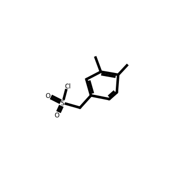 Cc1ccc(CS(=O)(=O)Cl)cc1C